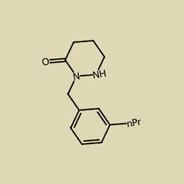 CCCc1cccc(CN2NCCCC2=O)c1